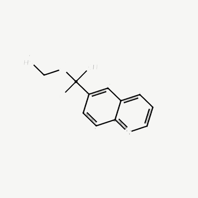 CC(C)(OCS)c1ccc2ncccc2c1